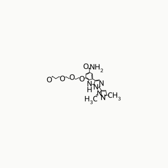 CCn1nc(C)cc1-c1ncc2c(n1)[nH]c1c(OCCOCCOCCC=O)cc(C(N)=O)cc12